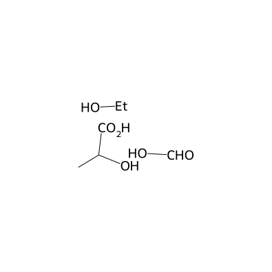 CC(O)C(=O)O.CCO.O=CO